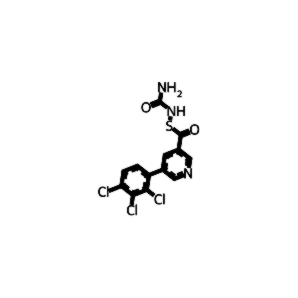 NC(=O)NSC(=O)c1cncc(-c2ccc(Cl)c(Cl)c2Cl)c1